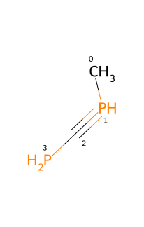 C[PH]#CP